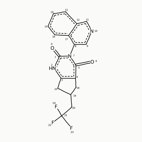 O=c1[nH]c2c(c(=O)n1-c1cncc3ccccc13)CC(CC(F)(F)F)C2